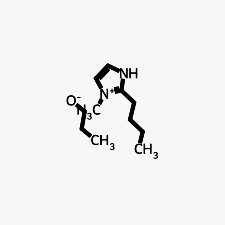 CCCCc1[nH]cc[n+]1C.CCC[O-]